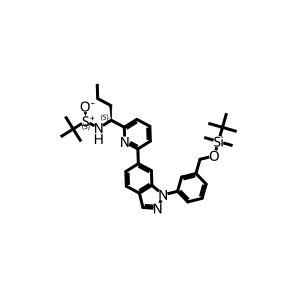 CCC[C@H](N[S@+]([O-])C(C)(C)C)c1cccc(-c2ccc3cnn(-c4cccc(CO[Si](C)(C)C(C)(C)C)c4)c3c2)n1